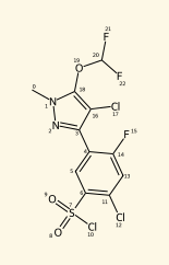 Cn1nc(-c2cc(S(=O)(=O)Cl)c(Cl)cc2F)c(Cl)c1OC(F)F